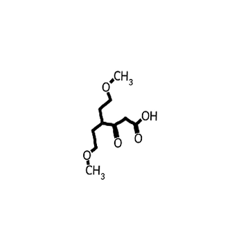 COCCC(CCOC)C(=O)CC(=O)O